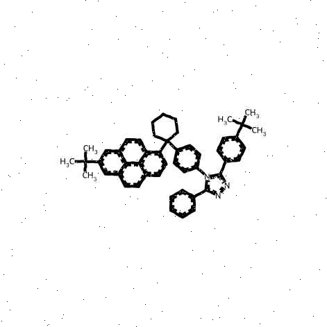 CC(C)(C)c1ccc(-c2nnc(-c3ccccc3)n2-c2ccc(C3(c4ccc5ccc6cc(C(C)(C)C)cc7ccc4c5c67)CCCCC3)cc2)cc1